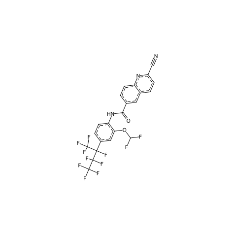 N#Cc1ccc2cc(C(=O)Nc3ccc(C(F)(C(F)(F)F)C(F)(F)C(F)(F)F)cc3OC(F)F)ccc2n1